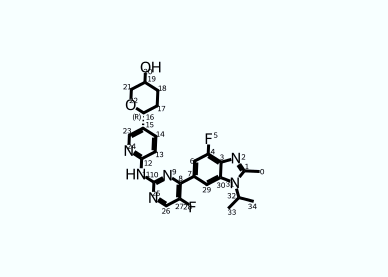 Cc1nc2c(F)cc(-c3nc(Nc4ccc([C@H]5CCC(O)CO5)cn4)ncc3F)cc2n1C(C)C